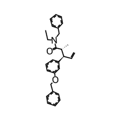 C=C[C@@H](c1cccc(OCc2ccccc2)c1)[C@@H](C)C(=O)N(CC)Cc1ccccc1